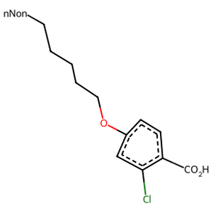 CCCCCCCCCCCCCCOc1ccc(C(=O)O)c(Cl)c1